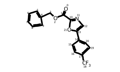 O=C(OCc1ccccc1)c1ncc(-c2ccc(C(F)(F)F)cc2)o1